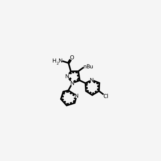 CCCCc1c(C(N)=O)nn(-c2ccccn2)c1-c1ccc(Cl)cn1